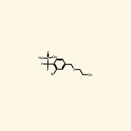 O=P(O)(O)C(F)(F)c1ccc(CSCCO)cc1Br